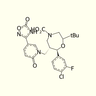 CC(C)(C)C1CN(C(=O)O)C[C@@H](Cn2cc(-c3noc(=O)[nH]3)ccc2=O)[C@H](c2ccc(Cl)c(F)c2)O1